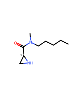 CCCCCN(C)C(=O)[C@@H]1CN1